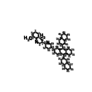 C=C(/C=N\c1ccccc1C)c1ccc(-c2ccc3c(-c4ccc5ccccc5c4)c4ccccc4c(-c4ccc5ccccc5c4)c3c2)cn1